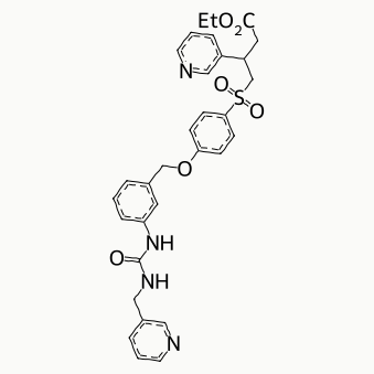 CCOC(=O)CC(CS(=O)(=O)c1ccc(OCc2cccc(NC(=O)NCc3cccnc3)c2)cc1)c1cccnc1